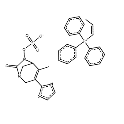 C/C=C\[P+](c1ccccc1)(c1ccccc1)c1ccccc1.CC1=C(c2nccs2)CN2CC1N(OS(=O)(=O)[O-])C2=O